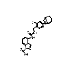 O=C(NCc1ccc(N2C3CCCC2CC3)cc1Cl)Nc1cccc2c1cnn2C(=O)O